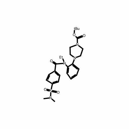 CCN(C(=O)c1ccc(S(=O)(=O)N(C)C)cc1)c1ccccc1N1CCN(C(=O)OC(C)(C)C)CC1